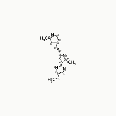 CCc1cnc(-n2cc(C#Cc3ccnc(C)c3)nc2C)nc1